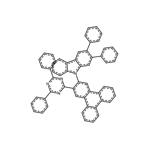 c1ccc(-c2nc(-c3ccccc3)nc(-c3cc4c5ccccc5c5ccccc5c4cc3-n3c4ccccc4c4cc(-c5ccccc5)c(-c5ccccc5)cc43)n2)cc1